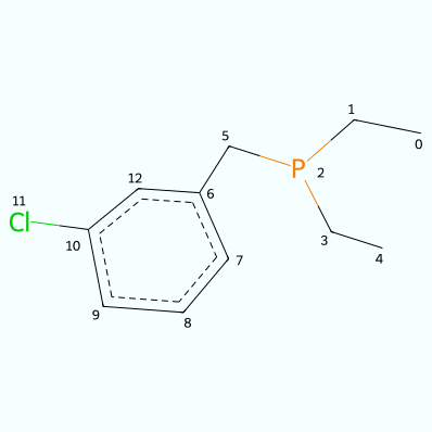 CCP(CC)Cc1cccc(Cl)c1